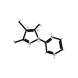 Cc1nn(-c2cnccn2)c(C)c1C